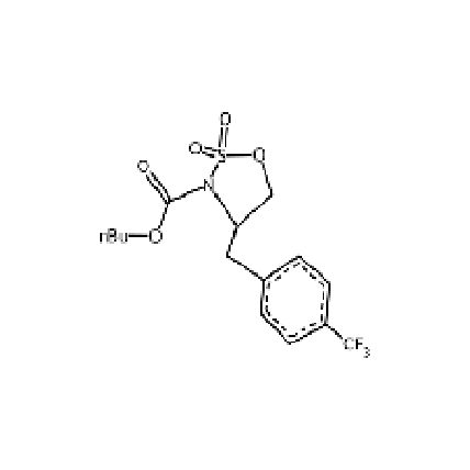 CCCCOC(=O)N1C(Cc2ccc(C(F)(F)F)cc2)COS1(=O)=O